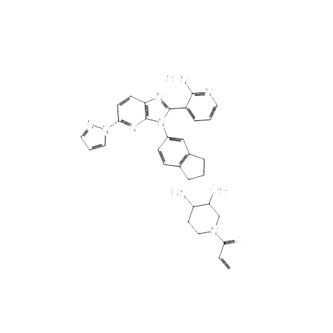 C=CC(=O)N1CCC(N[C@H]2CCc3cc(-n4c(-c5cccnc5N)nc5ccc(-n6cccn6)nc54)ccc32)C(O)C1